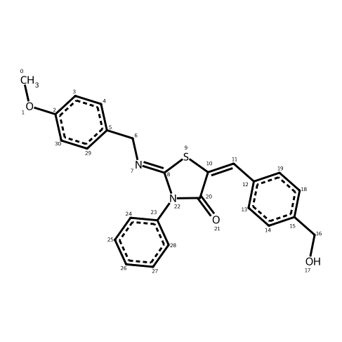 COc1ccc(CN=C2SC(=Cc3ccc(CO)cc3)C(=O)N2c2ccccc2)cc1